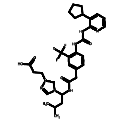 CC(C)CC(NC(=O)Cc1ccc(NC(=O)Nc2ncccc2C2CCCC2)c(C(F)(F)F)c1)N1C=NN(CCC(=O)O)C1